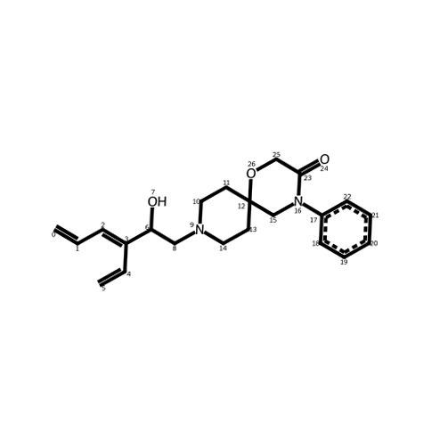 C=C/C=C(\C=C)C(O)CN1CCC2(CC1)CN(c1ccccc1)C(=O)CO2